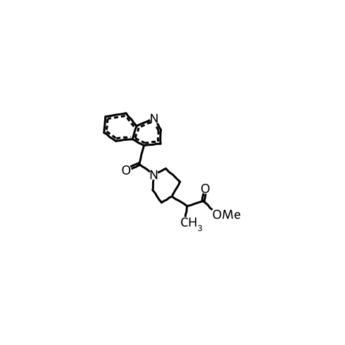 COC(=O)C(C)C1CCN(C(=O)c2ccnc3ccccc23)CC1